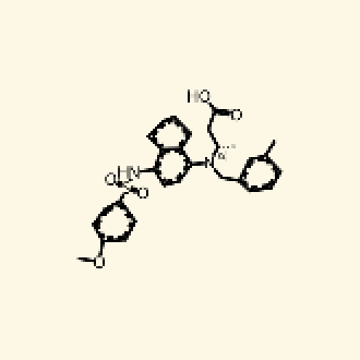 COc1ccc(S(=O)(=O)Nc2ccc(N(Cc3cccc(C)c3)[C@@H](C)CC(=O)O)c3ccccc23)cc1